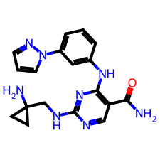 NC(=O)c1cnc(NCC2(N)CC2)nc1Nc1cccc(-n2cccn2)c1